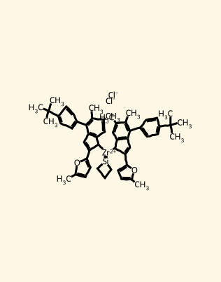 Cc1ccc(C2=Cc3c(cc(C)c(C)c3-c3ccc(C(C)(C)C)cc3)[CH]2[Zr+2]([CH]2C(c3ccc(C)o3)=Cc3c2cc(C)c(C)c3-c2ccc(C(C)(C)C)cc2)=[Si]2CCC2)o1.[Cl-].[Cl-]